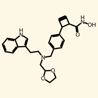 O=C(NO)C1C#CC1c1ccc(CN(CCc2c[nH]c3ccccc23)CC2OCCO2)cc1